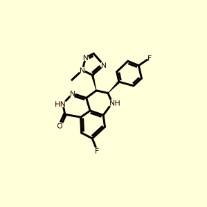 Cn1ncnc1[C@@H]1c2n[nH]c(=O)c3cc(F)cc(c23)N[C@@H]1c1ccc(F)cc1